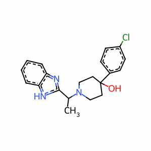 CC(c1nc2ccccc2[nH]1)N1CCC(O)(c2ccc(Cl)cc2)CC1